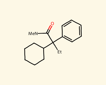 CCC(C(=O)NC)(c1ccccc1)C1CCCCC1